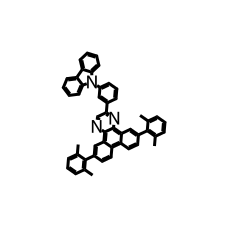 Cc1cccc(C)c1-c1ccc2c3ccc(-c4c(C)cccc4C)cc3c3nc(-c4cccc(-n5c6ccccc6c6ccccc65)c4)cnc3c2c1